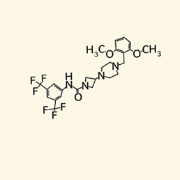 COc1cccc(OC)c1CN1CCN(C2CN(C(=O)Nc3cc(C(F)(F)F)cc(C(F)(F)F)c3)C2)CC1